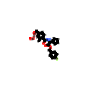 Cc1c(C(=O)N[C@H](C(=O)OCc2ccc(F)cc2)C2CCCC2)ccc2c1B(O)OC2